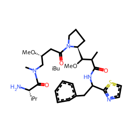 CC[C@H](C)C([C@@H](CC(=O)N1CCC[C@H]1C(OC)C(C)C(=O)NC(Cc1ccccc1)c1nccs1)OC)N(C)C(=O)[C@@H](N)C(C)C